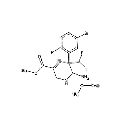 CC(C)(C)OC(=O)C1=NC(c2cc(Br)ccc2F)(C(F)F)C(N)NC1.CC(C)(C)OC=O